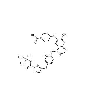 CC(C)(C)NC(=O)n1ccc(Oc2ccc(Nc3ncnc4cc(O)c(OC5CCN(C(=O)O)CC5)cc34)c(F)c2)n1